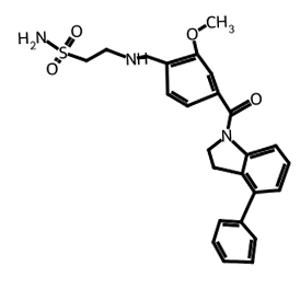 COc1cc(C(=O)N2CCc3c(-c4ccccc4)cccc32)ccc1CNCCS(N)(=O)=O